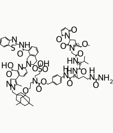 COC[C@@H]1CC(N2C(=O)C=CC2=O)C(=O)N1CC(=O)N[C@H](C(=O)N[C@@H](CCCNC(N)=O)C(=O)Nc1ccc(COC(=O)N(CCOC23CC4(C)CC(C)(CC(Cn5ncc(-c6ccc(N7CCc8cccc(C(=O)Nc9nc%10ccccc%10s9)c8C7)nc6C(=O)O)c5C)(C4)C2)C3)CCS(=O)(=O)O)cc1)C(C)C